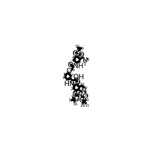 CN(C)Cc1cc(NC(=O)COc2cccc(C(Nc3ccc4c(N(C(=O)OC(C)(C)C)C(=O)OC(C)(C)C)nccc4c3)C(=O)O)c2)ccc1S(=O)(=O)C1CC1